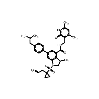 C=CCC1(S(=O)(=O)N2CC(C)c3c(C(=O)NCc4c(C)cc(C)[nH]c4=O)cc(-c4ccc(CN(C)C)cc4)cc32)CC1